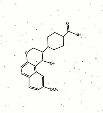 COc1ccc2ncc3c(c2c1)C(O)C(C1CCC(C(N)=O)CC1)CO3